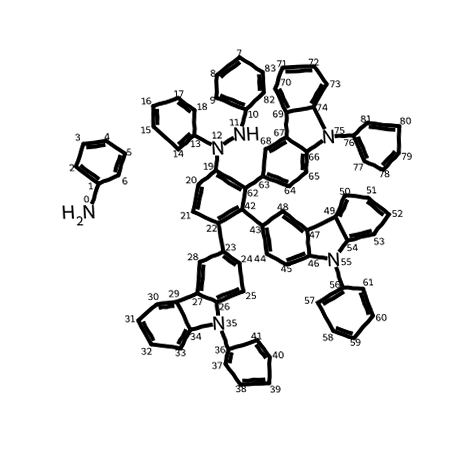 Nc1ccccc1.c1ccc(NN(c2ccccc2)c2ccc(-c3ccc4c(c3)c3ccccc3n4-c3ccccc3)c(-c3ccc4c(c3)c3ccccc3n4-c3ccccc3)c2-c2ccc3c(c2)c2ccccc2n3-c2ccccc2)cc1